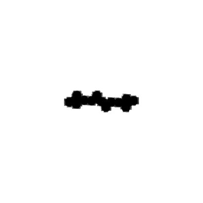 c1ccc(N(c2ccc(-c3ccc4c(c3)c3cccc5c6cc7c(cc6n4c35)c3cccc4c5cc(-c6ccc(N(c8ccccc8)c8cccc9c8oc8ccccc89)cc6)ccc5n7c43)cc2)c2cccc3c2oc2ccccc23)cc1